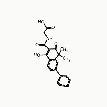 CC1(C)C(=O)C(C(=O)NCC(=O)O)=C(O)c2ccc(-c3ccccc3)cc21